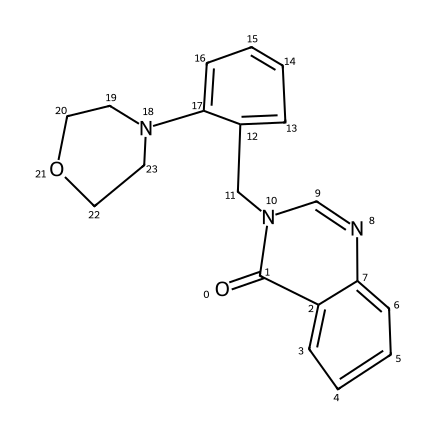 O=c1c2ccccc2ncn1Cc1ccccc1N1CCOCC1